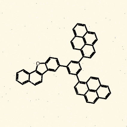 c1ccc2c(c1)ccc1c3cc(-c4cc(-c5ccc6ccc7cccc8ccc5c6c78)cc(-c5ccc6ccc7cccc8ccc5c6c78)c4)ccc3oc21